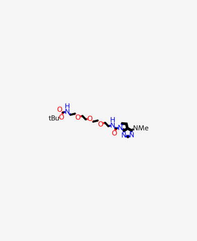 CNc1ncnc2c1ccn2C(=O)NCCOCCOCCOCCNC(=O)OC(C)(C)C